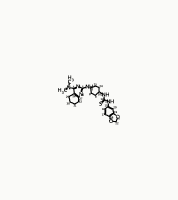 CN(C)c1nc(NC2CCC(NC(=S)Nc3ccc4c(c3)OCO4)CC2)nc2c1CCCC2